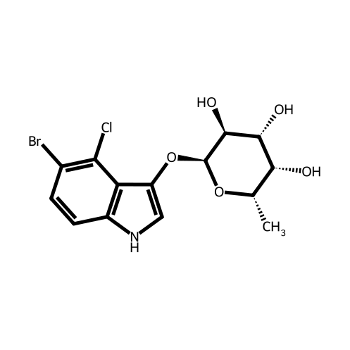 C[C@@H]1O[C@@H](Oc2c[nH]c3ccc(Br)c(Cl)c23)[C@@H](O)[C@H](O)[C@@H]1O